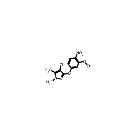 [CH2]COc1cc(Oc2nn(C)c(C(F)(F)F)c2Cl)ccc1[N+](=O)[O-]